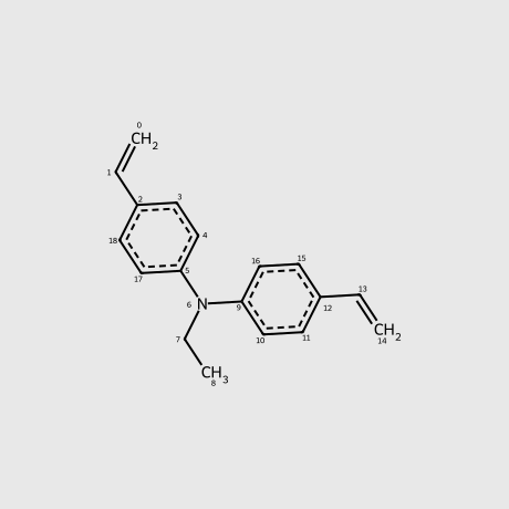 C=Cc1ccc(N(CC)c2ccc(C=C)cc2)cc1